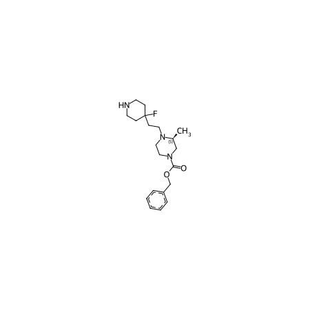 C[C@H]1CN(C(=O)OCc2ccccc2)CCN1CCC1(F)CCNCC1